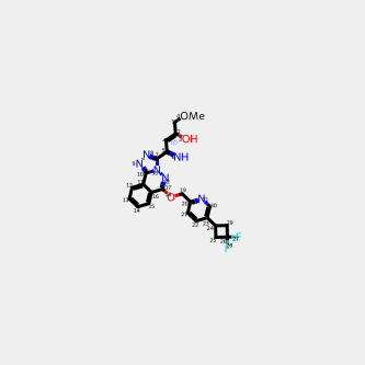 COC/C(O)=C/C(=N)c1nnc2c3ccccc3c(OCc3ccc(C4CC(F)(F)C4)cn3)nn12